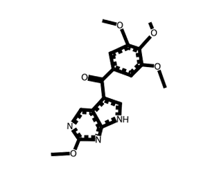 COc1ncc2c(C(=O)c3cc(OC)c(OC)c(OC)c3)c[nH]c2n1